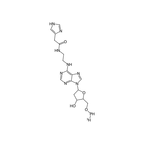 [3H]POCC1OC(n2cnc3c(NCCNC(=O)Cc4c[nH]cn4)ncnc32)CC1O